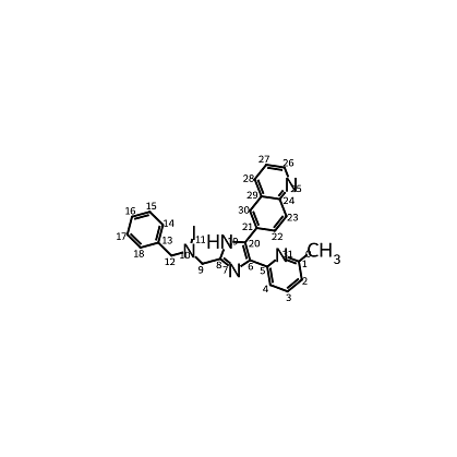 Cc1cccc(-c2nc(CN(I)Cc3ccccc3)[nH]c2-c2ccc3ncccc3c2)n1